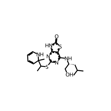 CC(C)C[C@H](CO)Nc1nc(SC(C)C2(C)C=CC=CN2)nc2[nH]c(=O)sc12